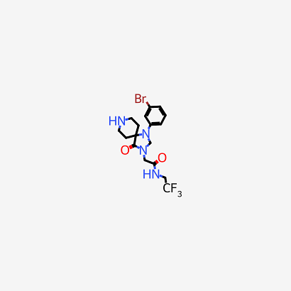 O=C(CN1CN(c2cccc(Br)c2)C2(CCNCC2)C1=O)NCC(F)(F)F